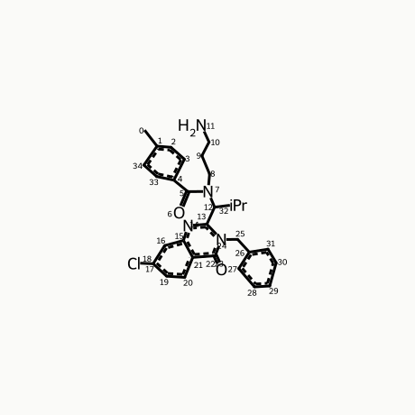 Cc1ccc(C(=O)N(CCCN)C(c2nc3cc(Cl)ccc3c(=O)n2Cc2ccccc2)C(C)C)cc1